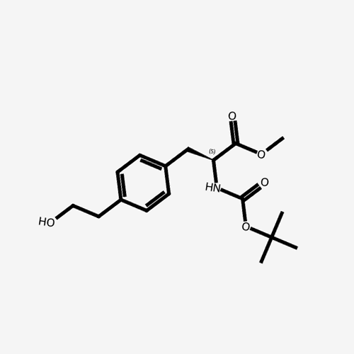 COC(=O)[C@H](Cc1ccc(CCO)cc1)NC(=O)OC(C)(C)C